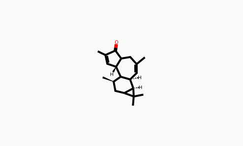 CC1=C[C@@H]2C([C@@H]3C=C(C)C(=O)C3C1)[C@H](C)CC1[C@@H]2C1(C)C